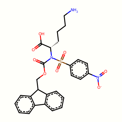 NCCCC[C@@H](C(=O)O)N(C(=O)OCC1c2ccccc2-c2ccccc21)S(=O)(=O)c1ccc([N+](=O)[O-])cc1